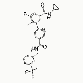 Cc1c(F)cc(C(=O)NC2CC2)cc1-c1ccc(C(=O)NCc2cccc(C(F)(F)F)c2)cn1